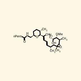 [CH2]CCCCC(=O)NC[C@H]1CC[C@H](C)[C@@H](/C(C)=C/C=C/[C@@H](C)C[C@@]2(C)O[C@@H]2[C@H](C)[C@@H](OC)[C@@H](C)O)O1